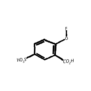 O=C(O)c1cc(S(=O)(=O)O)ccc1OF